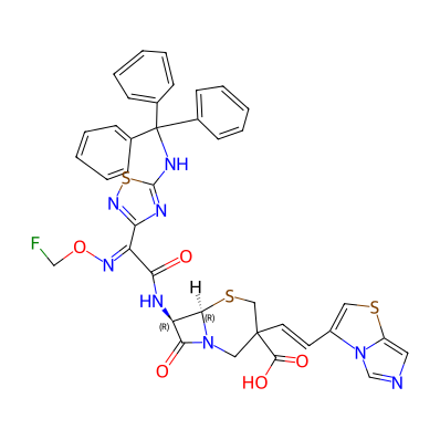 O=C(N[C@@H]1C(=O)N2CC(C=Cc3csc4cncn34)(C(=O)O)CS[C@H]12)C(=NOCF)c1nsc(NC(c2ccccc2)(c2ccccc2)c2ccccc2)n1